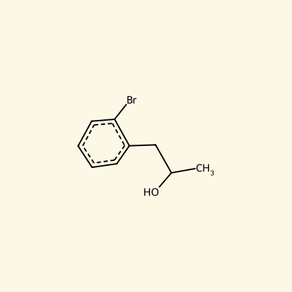 CC(O)Cc1ccccc1Br